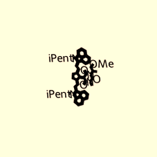 CCCC(C)n1/c(=C/C=C2\CC/C(=C\C=c3/c4cccc5cccc(c54)n3C(C)CCC)C2=C2C(=O)N(C)C(=O)N(C(C)COC)C2=O)c2cccc3cccc1c32